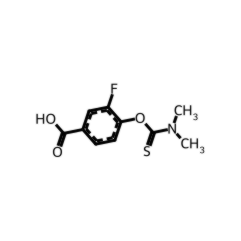 CN(C)C(=S)Oc1ccc(C(=O)O)cc1F